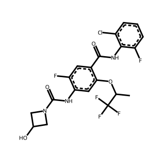 CC(Oc1cc(NC(=O)N2CC(O)C2)c(F)cc1C(=O)Nc1c(F)cccc1Cl)C(F)(F)F